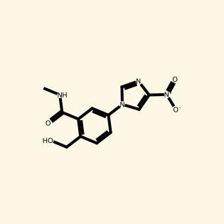 CNC(=O)c1cc(-n2cnc([N+](=O)[O-])c2)ccc1CO